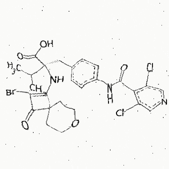 CC(C)[C@](Cc1ccc(NC(=O)c2c(Cl)cncc2Cl)cc1)(NC1=C(Br)C(=O)C12CCOCC2)C(=O)O